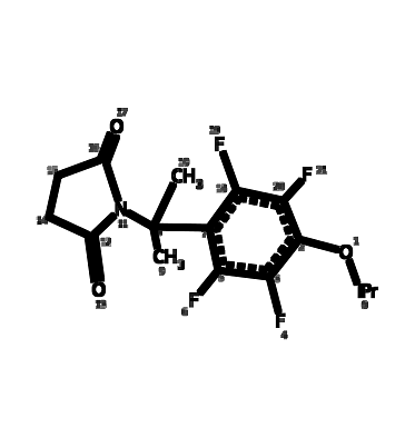 CC(C)Oc1c(F)c(F)c(C(C)(C)N2C(=O)CCC2=O)c(F)c1F